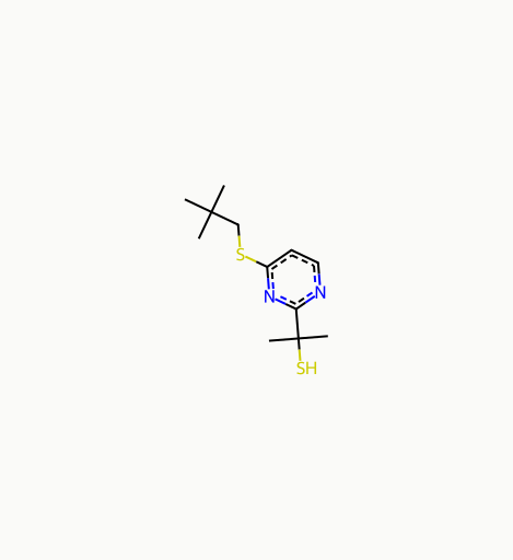 CC(C)(C)CSc1ccnc(C(C)(C)S)n1